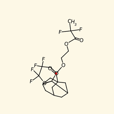 CC(F)(F)C(=O)OCCOC(=O)C12CC3CC(C1)C1(OCC(F)(F)C(F)(F)O1)C(C3)C2